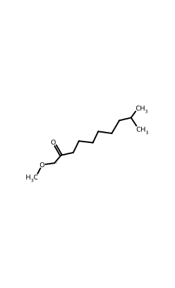 CO[CH]C(=O)CCCCCCC(C)C